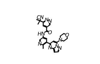 Cc1ncc(NC(=O)c2cnnc(C(C)(C)C#N)c2)cc1-c1cc(N2CCOCC2)n2nccc2n1